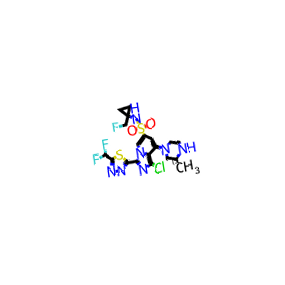 C[C@H]1CN(c2cc(S(=O)(=O)NC3(CF)CC3)cn3c(-c4nnc(C(F)F)s4)nc(Cl)c23)CCN1